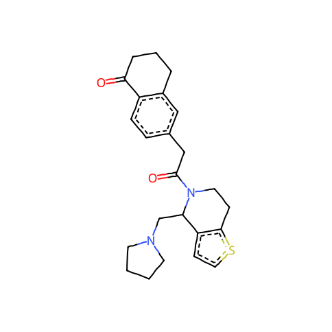 O=C1CCCc2cc(CC(=O)N3CCc4sccc4C3CN3CCCC3)ccc21